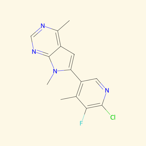 Cc1c(-c2cc3c(C)ncnc3n2C)cnc(Cl)c1F